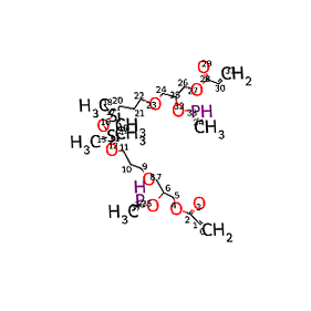 C=CC(=O)OCC(COCCCO[Si](C)(C)O[Si](C)(C)CCCOCC(COC(=O)C=C)OPC)OPC